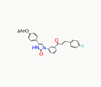 COc1ccc(-c2cn(-c3cccc(C(=O)/C=C/c4ccc(F)cc4)c3)c(=O)[nH]2)cc1